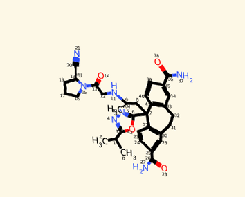 CC(C)c1nnc(C2(C[C@H](C)NCC(=O)N3CCC[C@H]3C#N)c3ccc(C(N)=O)cc3CCc3cc(C(N)=O)ccc32)o1